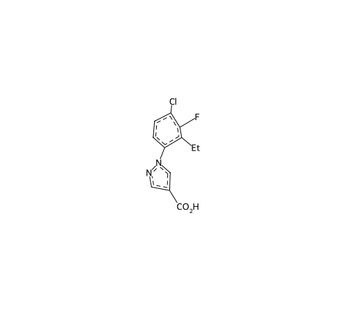 CCc1c(-n2cc(C(=O)O)cn2)ccc(Cl)c1F